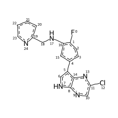 Fc1ccc(-c2c[nH]c3ncc(Cl)nc23)cc1NCc1ccccn1